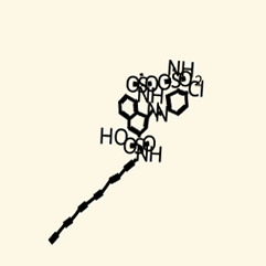 C#CC#CC#CC#CC#CC#CNS(=O)(=O)c1cc(N=Nc2ccc(Cl)c(S(N)(=O)=O)c2)c2c(NS(C)(=O)=O)cccc2c1O